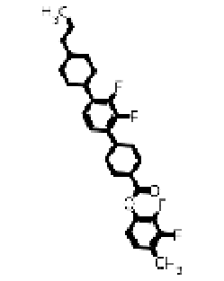 CCCC1CCC(c2ccc(C3CCC(C(=O)Oc4ccc(C)c(F)c4F)CC3)c(F)c2F)CC1